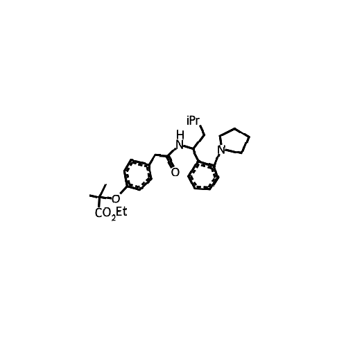 CCOC(=O)C(C)(C)Oc1ccc(CC(=O)NC(CC(C)C)c2ccccc2N2CCCC2)cc1